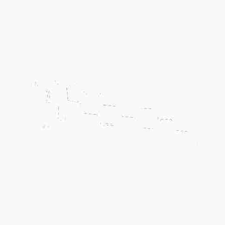 CCCCNc1nc(N)nc2cnn(Cc3ncc(C4CCN(C(=O)CCO)CC4)cc3OC)c12